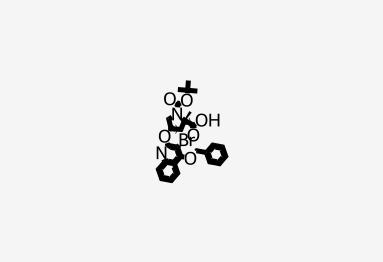 CC(C)(C)OC(=O)N1C[C@H](Oc2nc3ccccc3c(OCc3ccccc3)c2Br)C[C@@]1(C)C(=O)O